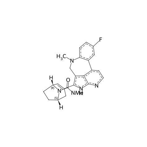 CNC(=O)N1[C@H]2CC[C@@H]1C=C(c1[nH]c3nccc4c3c1CN(C)c1ccc(F)cc1-4)C2